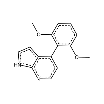 COc1cccc(OC)c1-c1ccnc2[nH]ccc12